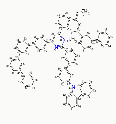 C/C=C(\C=C(/CC)C1=CC=C[C@H](c2ccccc2)C1)c1cccc(-c2cc(-c3ccc(-c4cccc(-c5cccc(-c6ccccc6)c5)c4)cc3)nc(-c3cccc(-c4cccc(-n5c6ccccc6c6ccccc65)c4)c3)n2)c1